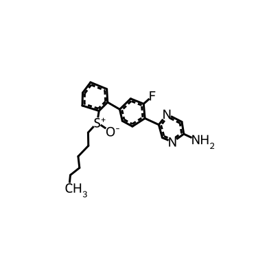 CCCCCC[S+]([O-])c1ccccc1-c1ccc(-c2cnc(N)cn2)c(F)c1